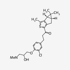 CNCC(O)COc1ccc(CCC(=O)c2sc(C)c3c2C[C@@H]2[C@H]3C2(C)C)cc1Cl